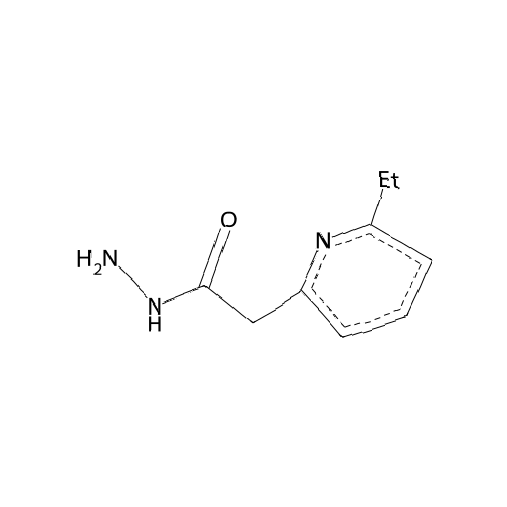 CCc1cccc(CC(=O)NN)n1